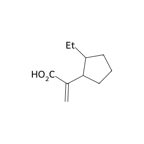 C=C(C(=O)O)C1CCCC1CC